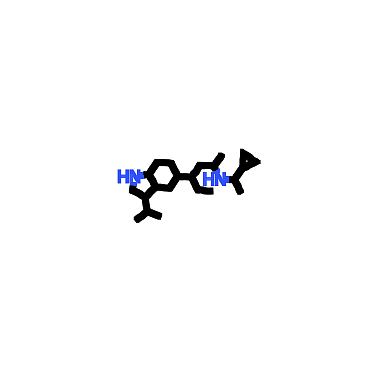 CCC(CC(C)NC(C)C1CC1)C1CCC2NCC(C(C)C)C2C1